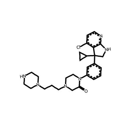 O=C1CN(CCCN2CCNCC2)CCN1c1cccc(C2(C3CC3)CNc3nccc(Cl)c32)c1